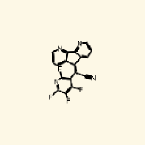 N#CC(=C1c2cccnc2-c2ncccc21)c1c(F)nc(F)c(F)c1F